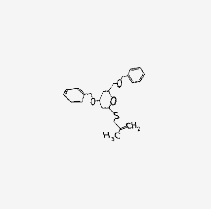 C=C(C)CSC1CC(OCc2ccccc2)CC(COCc2ccccc2)O1